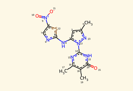 Cc1cc(Nc2ncc([N+](=O)[O-])s2)n(-c2nc(C)c(C)c(=O)[nH]2)n1